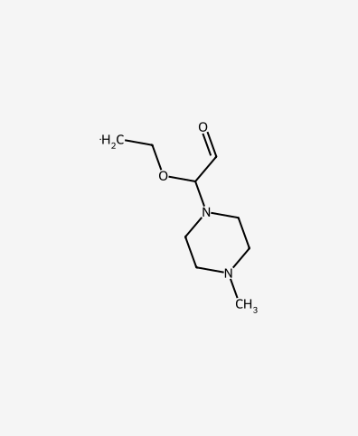 [CH2]COC(C=O)N1CCN(C)CC1